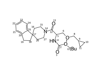 CC(C)(C)OC(=O)NC(COCC1CC1)C(=O)N1CCC2(CCc3ccccc32)CC1